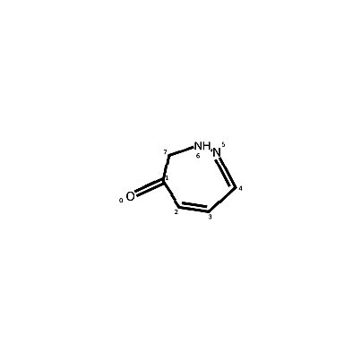 O=C1C=CC=NNC1